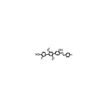 COc1cc(-c2ccc(O)c(F)c2)c(OC)cc1-c1ccc(OCc2ccc(C)cc2)c(O)c1